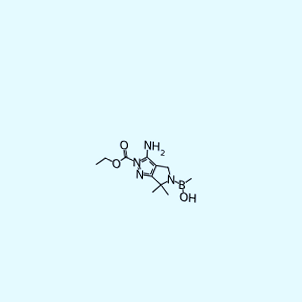 CCOC(=O)n1nc2c(c1N)CN(B(C)O)C2(C)C